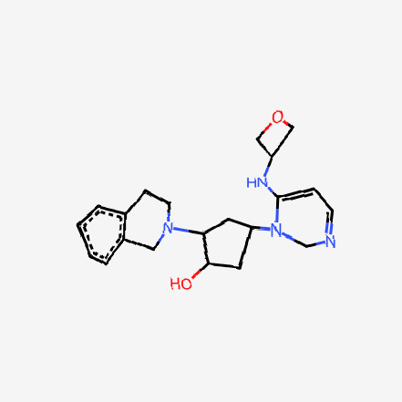 OC1CC(N2CN=CC=C2NC2COC2)CC1N1CCc2ccccc2C1